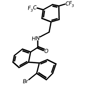 O=C(NCc1cc(C(F)(F)F)cc(C(F)(F)F)c1)c1ccccc1-c1ccccc1Br